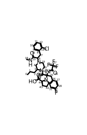 CCCC1CN(C(Cc2ccccc2Cl)C(=O)NC)CCN1C(=O)C(Cc1ccc(F)cc1)(NC(=O)C(F)(F)F)N1CCCC1C(=O)O